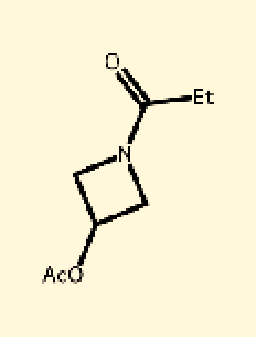 CCC(=O)N1CC(OC(C)=O)C1